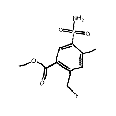 COC(=O)c1cc(S(N)(=O)=O)c(C)cc1CF